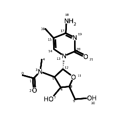 CC(=O)N(C)C1C(O)C(CO)O[C@H]1n1cc(C)c(N)nc1=O